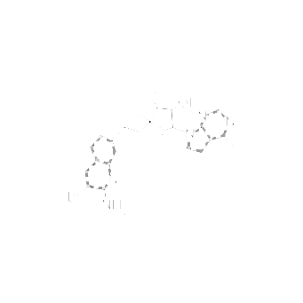 Cc1ncnc2c1ccn2C1SC(C)(CCc2ccc3cc(Br)c(N)nc3c2)C(O)C1O